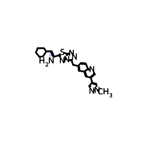 Cn1cc(-c2cnc3ccc(Cc4nnc5sc(/C(N)=C/C6CCCCC6)nn45)cc3c2)cn1